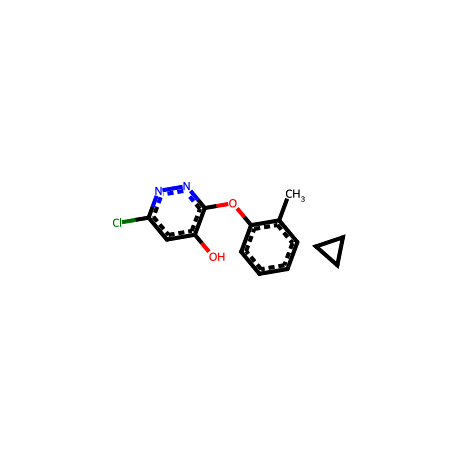 C1CC1.Cc1ccccc1Oc1nnc(Cl)cc1O